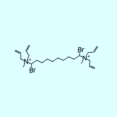 C=CC[N+](C)(CC=C)C(Br)CCCCCCCCC(Br)[N+](C)(CC=C)CC=C